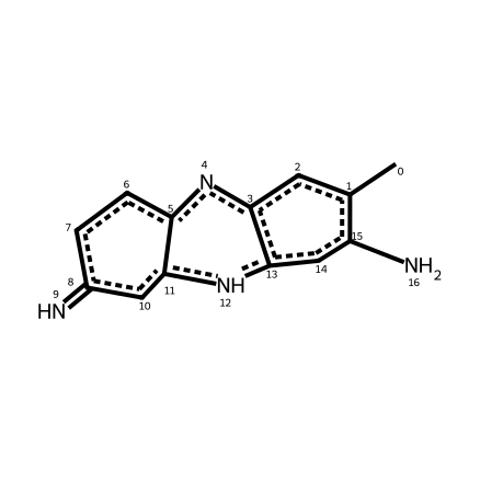 Cc1cc2nc3ccc(=N)cc-3[nH]c2cc1N